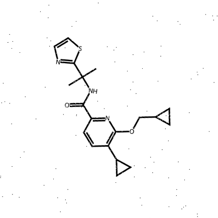 CC(C)(NC(=O)c1ccc(C2CC2)c(OCC2CC2)n1)c1nccs1